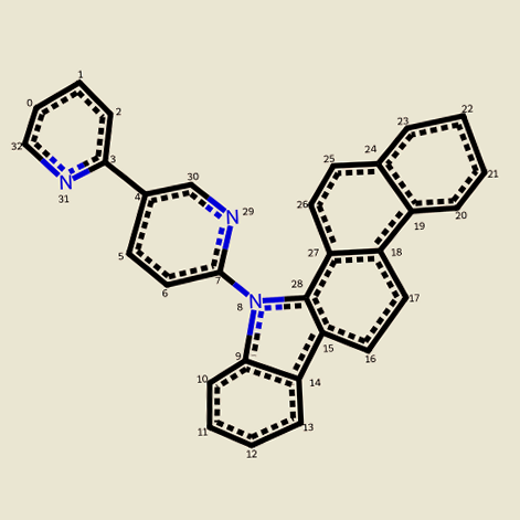 c1ccc(-c2ccc(-n3c4ccccc4c4ccc5c6ccccc6ccc5c43)nc2)nc1